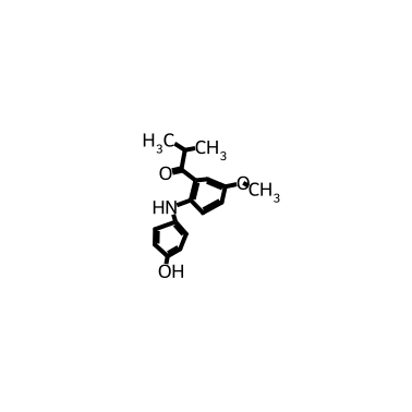 COc1ccc(Nc2ccc(O)cc2)c(C(=O)C(C)C)c1